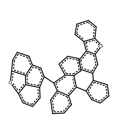 c1ccc(-c2c3ccccc3c(-c3cc4cccc5oc6cccc3c6c45)c3ccccc23)c(-c2ccc3c(c2)sc2ccccc23)c1